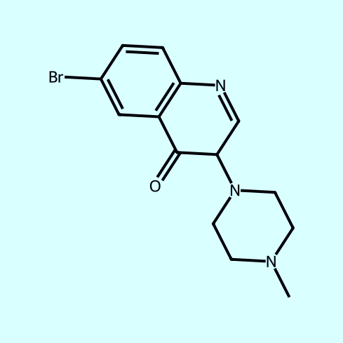 CN1CCN(C2C=Nc3ccc(Br)cc3C2=O)CC1